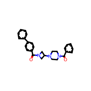 O=C(c1ccccc1)N1C[CH]N(C2CN(C(=O)c3ccc(-c4ccccc4)cc3)C2)CC1